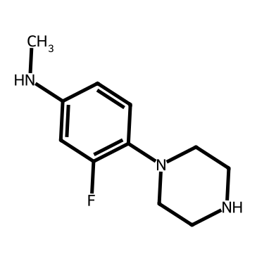 CNc1ccc(N2CCNCC2)c(F)c1